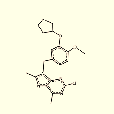 COc1ccc(Cn2c(C)nc3c(C)nc(Cl)nc32)cc1OC1CCCC1